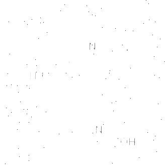 CC12CCCN1CC/C(=N\O)C2